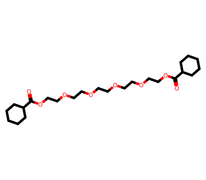 O=C(OCCOCCOCCOCCOCCOC(=O)C1CCCCC1)C1CCCCC1